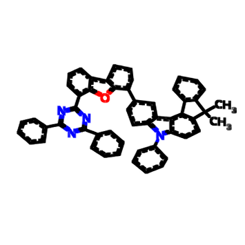 CC1(C)c2ccccc2-c2c1ccc1c2c2cc(-c3cccc4c3oc3c(-c5nc(-c6ccccc6)nc(-c6ccccc6)n5)cccc34)ccc2n1-c1ccccc1